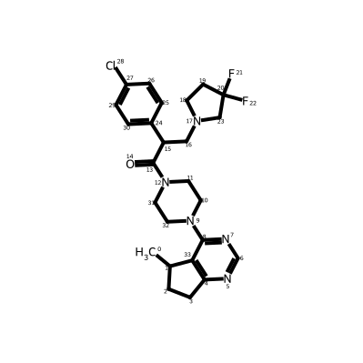 CC1CCc2ncnc(N3CCN(C(=O)C(CN4CCC(F)(F)C4)c4ccc(Cl)cc4)CC3)c21